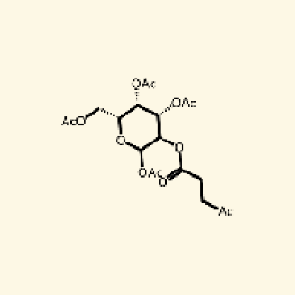 CC(=O)CCC(=O)O[C@H]1C(OC(C)=O)O[C@H](COC(C)=O)[C@H](OC(C)=O)[C@@H]1OC(C)=O